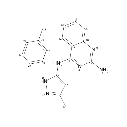 Cc1cc(Nc2nc(N)nc3ccccc23)[nH]n1.Cc1ccccc1